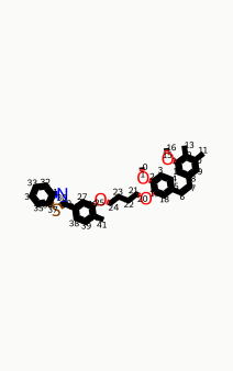 COc1ccc(/C=C\c2cc(C)c(C)c(OC)c2)cc1OCCCCOc1cc(-c2nc3ccccc3s2)ccc1C